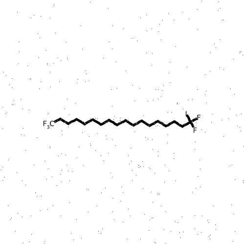 FC(F)(F)CCCCCCCCCCCCCCCCC(F)(F)I